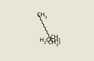 [CH2]C(C)(C)C(C)CCCCCCCCCCCCCC